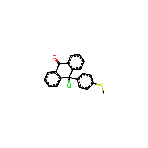 CSc1ccc(C2(Cl)c3ccccc3C(=O)c3ccccc32)cc1